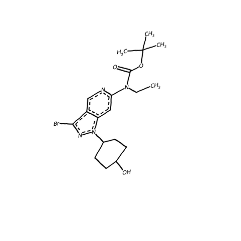 CCN(C(=O)OC(C)(C)C)c1cc2c(cn1)c(Br)nn2C1CCC(O)CC1